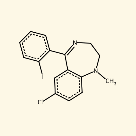 CN1CCN=C(c2ccccc2I)c2cc(Cl)ccc21